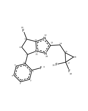 Fc1ccccc1C1CC(F)c2nc(CC3CC3(F)F)nn21